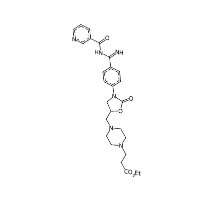 CCOC(=O)CCN1CCN(CC2CN(c3ccc(C(=N)NC(=O)c4cccnc4)cc3)C(=O)O2)CC1